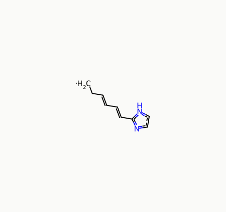 [CH2]C/C=C/C=C/c1ncc[nH]1